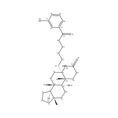 C[C@@]12CCC[C@H]1[C@@H]1CC[C@@]3(CCCCCC(=O)c4cccc(Cl)c4)NC(=O)CC[C@]3(C)[C@H]1CC2